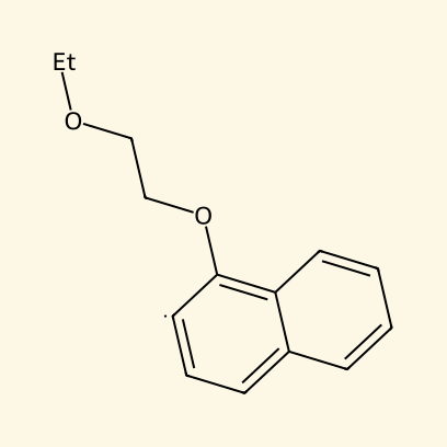 CCOCCOc1[c]ccc2ccccc12